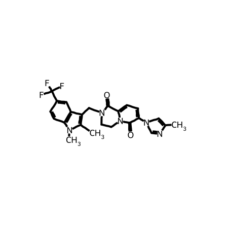 Cc1cn(-c2ccc3n(c2=O)CCN(Cc2c(C)n(C)c4ccc(C(F)(F)F)cc24)C3=O)cn1